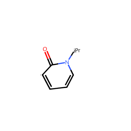 CC(C)n1ccc[c]c1=O